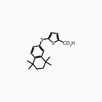 CC1(C)CCC(C)(C)c2cc(Sc3ccc(C(=O)O)s3)ccc21